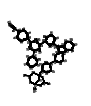 C[C@@H]1C[C@@H]2C[C@H](C)CC(c3ccc(-c4ccc5c6ccccc6n(-c6cccc(-c7nc(-c8ccccc8)nc(-c8ccc(C#N)cc8)n7)c6)c5c4)cc3)(C1)C2